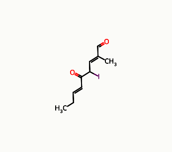 CC/C=C/C(=O)C(I)/C=C(\C)C=O